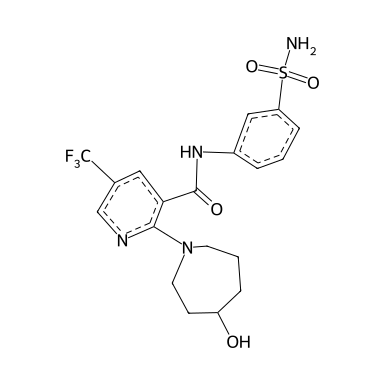 NS(=O)(=O)c1cccc(NC(=O)c2cc(C(F)(F)F)cnc2N2CCCC(O)CC2)c1